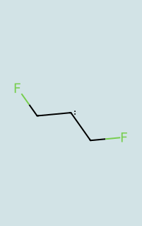 FC[C]CF